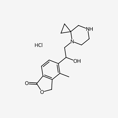 Cc1c(C(O)CN2CCNCC23CC3)ccc2c1COC2=O.Cl